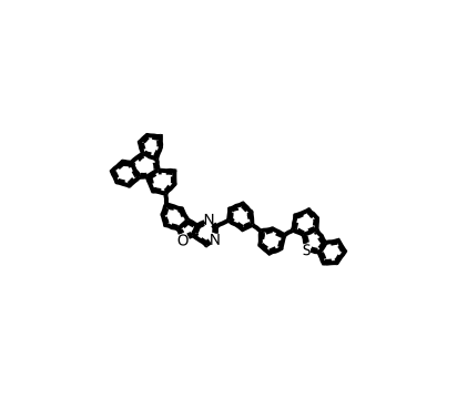 c1cc(-c2cccc(-c3cccc4c3sc3ccccc34)c2)cc(-c2ncc3oc4ccc(-c5ccc6c7ccccc7c7ccccc7c6c5)cc4c3n2)c1